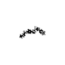 Cc1cc(-c2ccnc(Nc3cnn(C4CCN(S(C)(=O)=O)CC4)c3)n2)ccc1CNC(=O)c1cnc(C(C)(C)C)s1